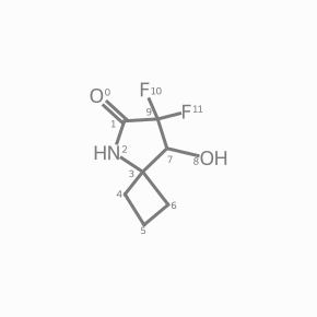 O=C1NC2(CCC2)C(O)C1(F)F